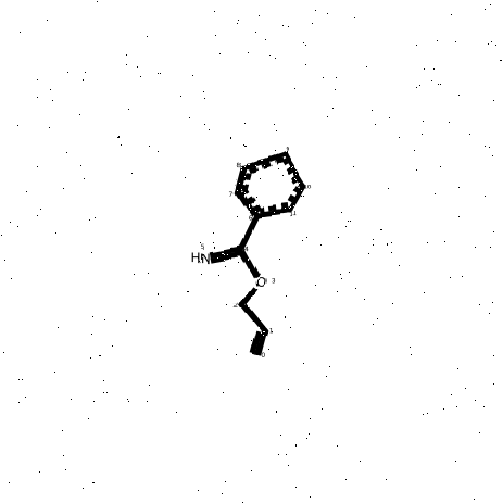 C=CCOC(=N)c1ccccc1